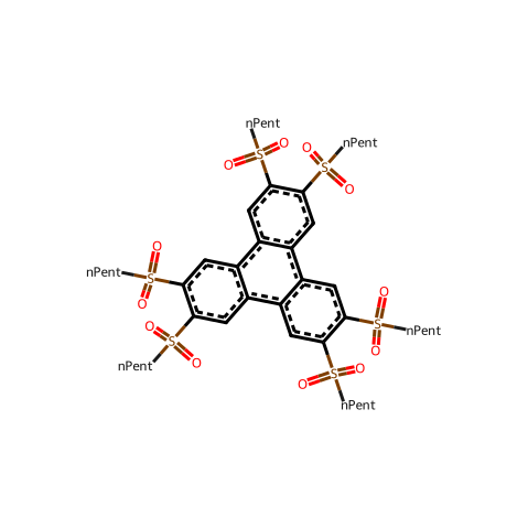 CCCCCS(=O)(=O)c1cc2c3cc(S(=O)(=O)CCCCC)c(S(=O)(=O)CCCCC)cc3c3cc(S(=O)(=O)CCCCC)c(S(=O)(=O)CCCCC)cc3c2cc1S(=O)(=O)CCCCC